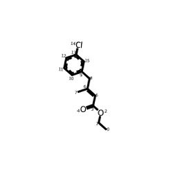 CCOC(=O)/C=C(\C)Cc1cccc(Cl)c1